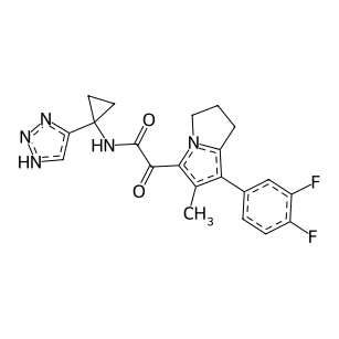 Cc1c(-c2ccc(F)c(F)c2)c2n(c1C(=O)C(=O)NC1(c3c[nH]nn3)CC1)CCC2